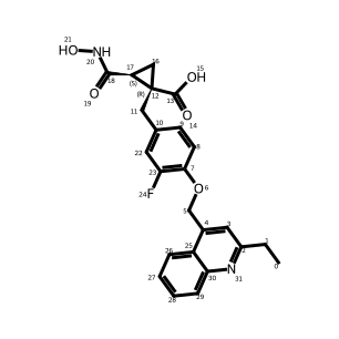 CCc1cc(COc2ccc(C[C@]3(C(=O)O)C[C@@H]3C(=O)NO)cc2F)c2ccccc2n1